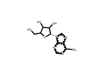 Nc1ncnc2c1ncn2[C@@H]1OC(CO)C(O)C1O